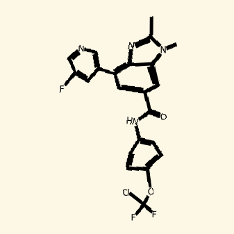 Cc1nc2c(-c3cncc(F)c3)cc(C(=O)Nc3ccc(OC(F)(F)Cl)cc3)cc2n1C